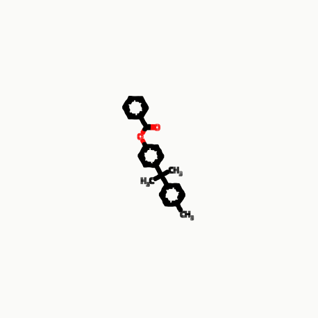 Cc1ccc(C(C)(C)c2ccc(OC(=O)c3ccccc3)cc2)cc1